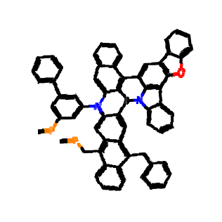 C=PCc1c2ccccc2c(Cc2ccccc2)c2cc3c(cc12)N(c1cc(P=C)cc(-c2ccccc2)c1)c1cc2ccccc2c2c1B3n1c3ccccc3c3c4oc5ccccc5c4cc-2c31